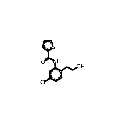 O=C(Nc1cc(Cl)ccc1CCO)c1cccs1